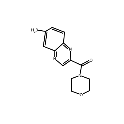 Bc1ccc2nc(C(=O)N3CCOCC3)cnc2c1